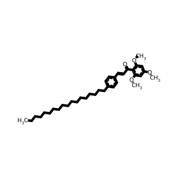 CCCCCCCCCCCCCCCCCCc1ccc(C=CC(=O)c2c(OC)cc(OC)cc2OC)cc1